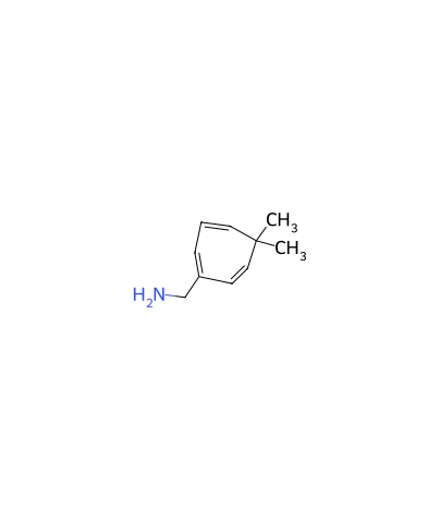 CC1(C)C=CC=C(CN)C=C1